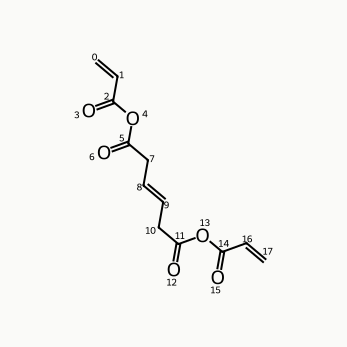 C=CC(=O)OC(=O)CC=CCC(=O)OC(=O)C=C